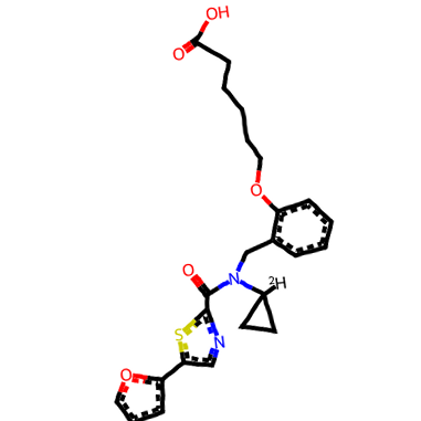 [2H]C1(N(Cc2ccccc2OCCCCCC(=O)O)C(=O)c2ncc(-c3ccco3)s2)CC1